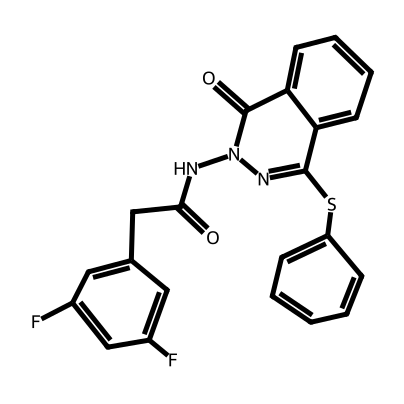 O=C(Cc1cc(F)cc(F)c1)Nn1nc(Sc2ccccc2)c2ccccc2c1=O